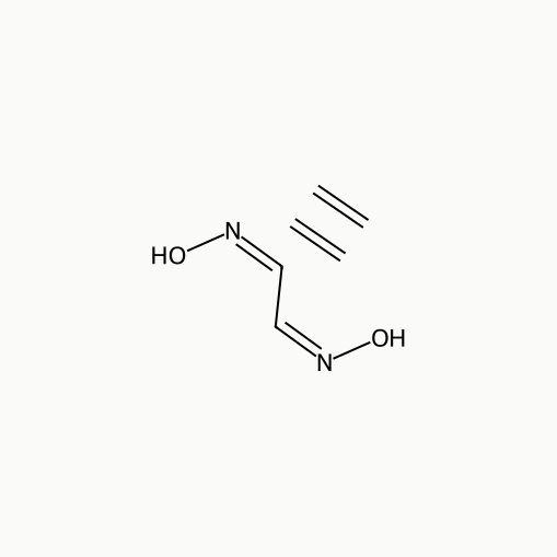 C=C.C=C.O/N=C\C=N/O